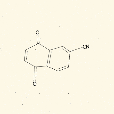 N#Cc1ccc2c(c1)C(=O)C=CC2=O